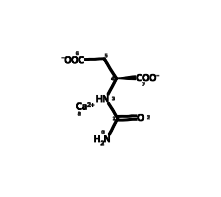 NC(=O)N[C@@H](CC(=O)[O-])C(=O)[O-].[Ca+2]